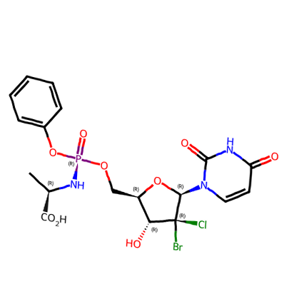 C[C@@H](N[P@@](=O)(OC[C@H]1O[C@@H](n2ccc(=O)[nH]c2=O)[C@](Cl)(Br)[C@@H]1O)Oc1ccccc1)C(=O)O